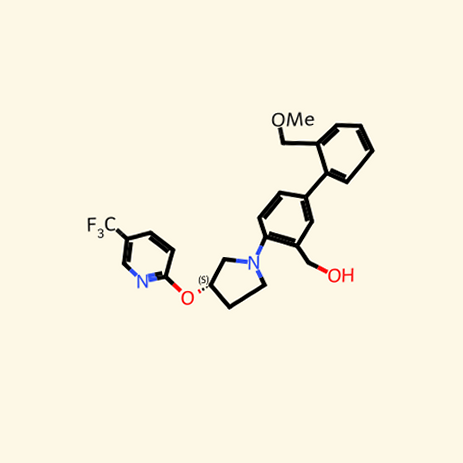 COCc1ccccc1-c1ccc(N2CC[C@H](Oc3ccc(C(F)(F)F)cn3)C2)c(CO)c1